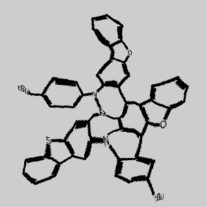 CC(C)(C)c1ccc(N2B3c4cc5sc6ccccc6c5cc4-n4c5ccc(C(C)(C)C)cc5c5c6oc7ccccc7c6c(c3c54)-c3cc4oc5ccccc5c4cc32)cc1